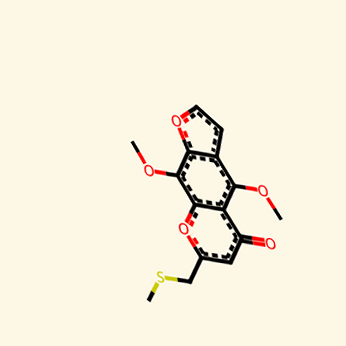 COc1c2occc2c(OC)c2c(=O)cc(CSC)oc12